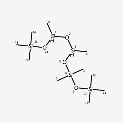 C[SiH](O[SiH](C)O[Si](C)(C)O[Si](C)(C)C)O[Si](C)(C)C